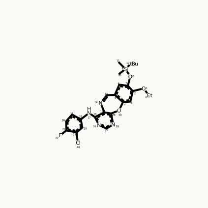 CCOc1cc2c(cc1O[Si](C)(C)C(C)(C)C)C=Nc1c(Nc3ccc(F)c(Cl)c3)ncnc1O2